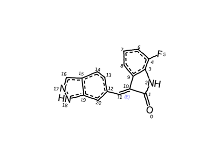 O=C1Nc2c(F)cccc2/C1=C\c1ccc2cn[nH]c2c1